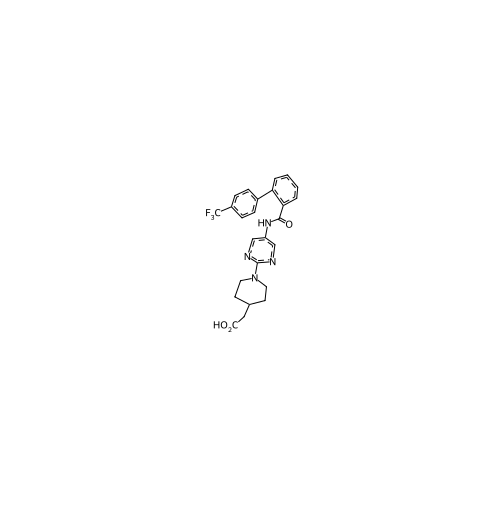 O=C(O)CC1CCN(c2ncc(NC(=O)c3ccccc3-c3ccc(C(F)(F)F)cc3)cn2)CC1